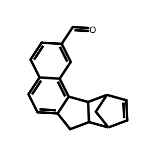 O=Cc1ccc2ccc3c(c2c1)C1C2C=CC(C2)C1C3